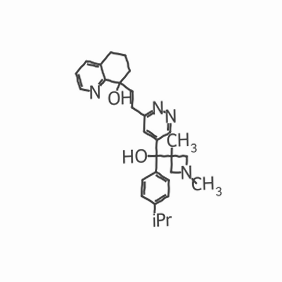 CC(C)c1ccc(C(O)(c2cnnc(CCC3(O)CCCc4cccnc43)c2)C2(C)CN(C)C2)cc1